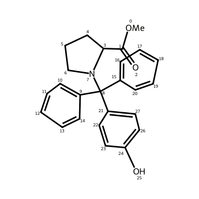 COC(=O)C1CCCN1C(c1ccccc1)(c1ccccc1)c1ccc(O)cc1